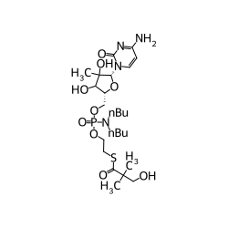 CCCCN(CCCC)P(=O)(OCCSC(=O)C(C)(C)CO)OC[C@H]1O[C@@H](n2ccc(N)nc2=O)C(C)(O)C1O